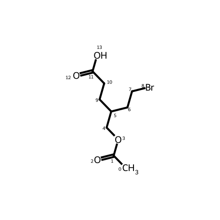 CC(=O)OCC(CCBr)CCC(=O)O